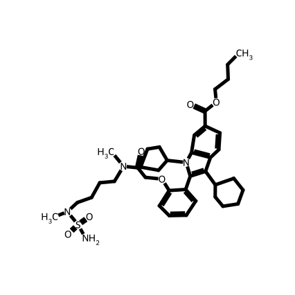 CCCCOC(=O)c1ccc2c(C3CCCCC3)c(-c3ccccc3OCC(=O)N(C)CCCCN(C)S(N)(=O)=O)n(C3CCCC3)c2c1